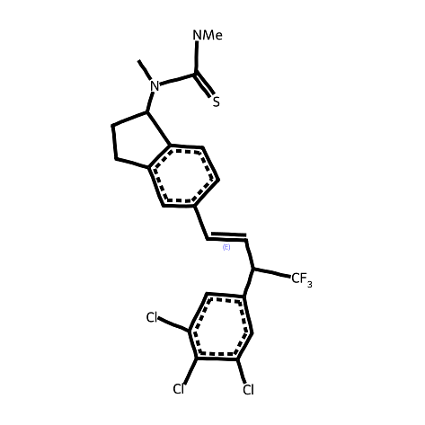 CNC(=S)N(C)C1CCc2cc(/C=C/C(c3cc(Cl)c(Cl)c(Cl)c3)C(F)(F)F)ccc21